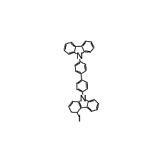 IC1CC=Cc2c1c1ccccc1n2-c1ccc(-c2ccc(-n3c4ccccc4c4ccccc43)cc2)cc1